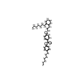 CCCCCCCc1ccc(OC(=O)c2ccc(OCCCC3CCCCC3CCCCCCC)cc2)cc1